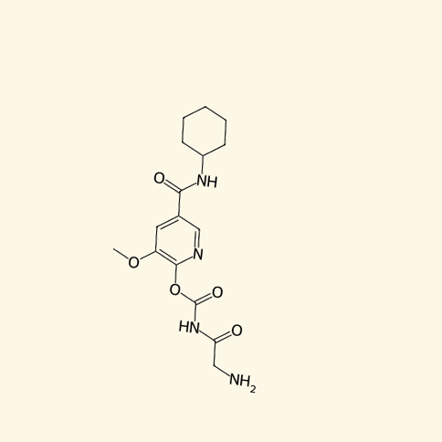 COc1cc(C(=O)NC2CCCCC2)cnc1OC(=O)NC(=O)CN